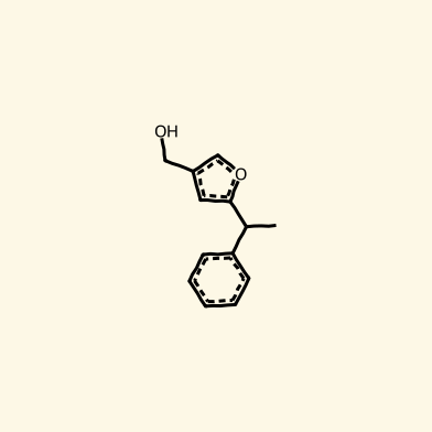 CC(c1ccccc1)c1cc(CO)co1